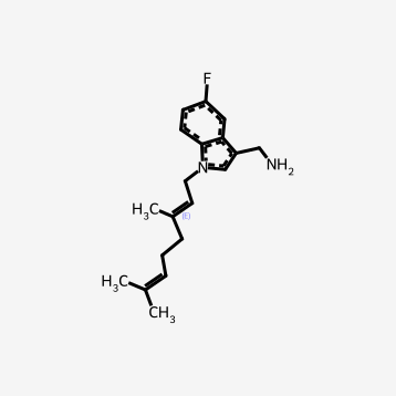 CC(C)=CCC/C(C)=C/Cn1cc(CN)c2cc(F)ccc21